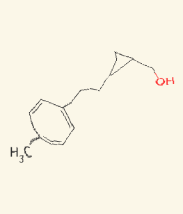 Cc1ccc(CCC2CC2CO)cc1